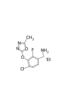 CC[C@@H](N)c1ccc(Cl)c(Oc2nnc(C)o2)c1F